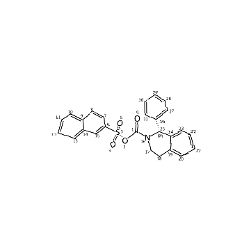 O=C(OS(=O)(=O)c1ccc2ccccc2c1)N1CCc2ccccc2[C@H]1c1ccccc1